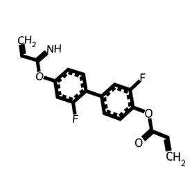 C=CC(=N)Oc1ccc(-c2ccc(OC(=O)C=C)c(F)c2)c(F)c1